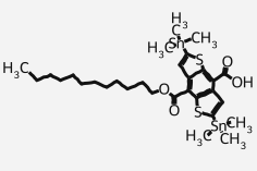 CCCCCCCCCCCCOC(=O)c1c2c[c]([Sn]([CH3])([CH3])[CH3])sc2c(C(=O)O)c2c[c]([Sn]([CH3])([CH3])[CH3])sc12